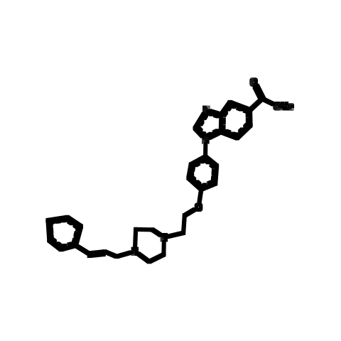 COC(=O)c1ccc2c(c1)ncn2-c1ccc(OCCN2CCN(CC=Cc3ccccc3)CC2)cc1